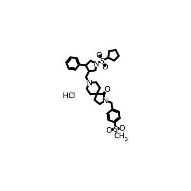 CS(=O)(=O)c1ccc(CN2CCC3(CCN(CC4CN(S(=O)(=O)C5CCCC5)CC4c4ccccc4)CC3)C2=O)cc1.Cl